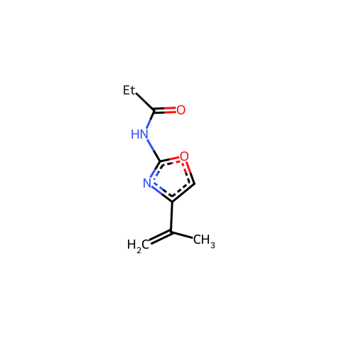 C=C(C)c1coc(NC(=O)CC)n1